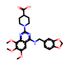 COc1cc2c(NCc3ccc4c(c3)OCO4)nc(N3CCC(C(=O)O)CC3)nc2c(OC)c1OC